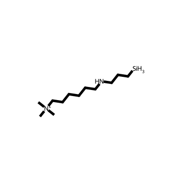 C[N+](C)(C)CCCCCCNCCC[SiH3]